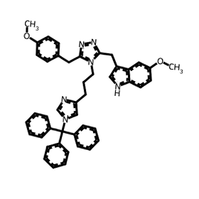 COc1ccc(Cc2nnc(Cc3c[nH]c4ccc(OC)cc34)n2CCCc2cn(C(c3ccccc3)(c3ccccc3)c3ccccc3)cn2)cc1